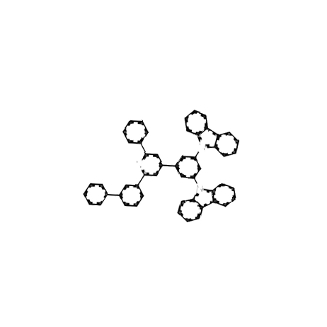 c1ccc(-c2cccc(-c3cc(-c4cc(-n5c6ccccc6c6ccccc65)cc(-n5c6ccccc6c6ccccc65)c4)cc(-c4ccccc4)n3)c2)cc1